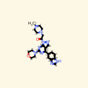 CN1CCN(CC(=O)n2ncc3c(-c4ccc5[nH]cnc5c4)nc(N4CCOCC4)nc32)CC1